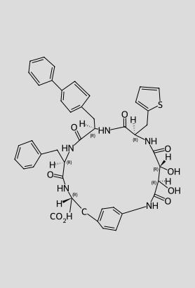 O=C(O)[C@H]1Cc2ccc(cc2)NC(=O)[C@H](O)[C@@H](O)C(=O)N[C@H](Cc2cccs2)C(=O)N[C@H](Cc2ccc(-c3ccccc3)cc2)C(=O)N[C@H](Cc2ccccc2)C(=O)N1